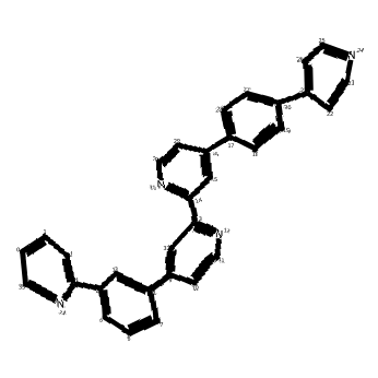 c1ccc(-c2cccc(-c3ccnc(-c4cc(-c5ccc(-c6ccncc6)cc5)ccn4)c3)c2)nc1